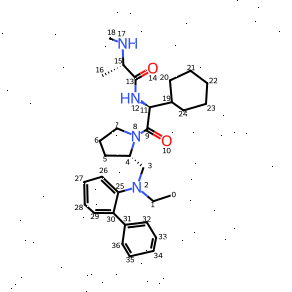 CCN(C[C@@H]1CCCN1C(=O)[C@@H](NC(=O)[C@H](C)NC)C1CCCCC1)c1ccccc1-c1ccccc1